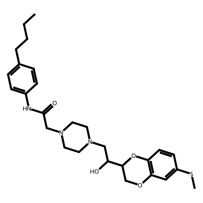 CCCCc1ccc(NC(=O)CN2CCN(CC(O)C3COc4cc(SC)ccc4O3)CC2)cc1